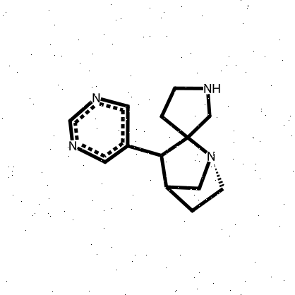 c1ncc(C2C3CC[N@](C3)C23CCNC3)cn1